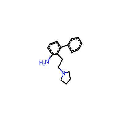 Nc1cccc(-c2ccccc2)c1CCN1CCCC1